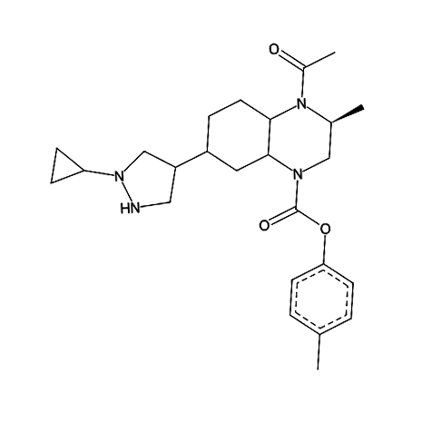 CC(=O)N1C2CCC(C3CNN(C4CC4)C3)CC2N(C(=O)Oc2ccc(C)cc2)C[C@@H]1C